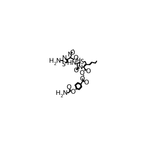 CC/C=C/C1=C(C(=O)OCOC(=O)c2ccc(OC(=O)CN)cc2)N2C(=O)[C@@H](NC(=O)/C(=N\OC)c3csc(N)n3)[C@H]2SC1